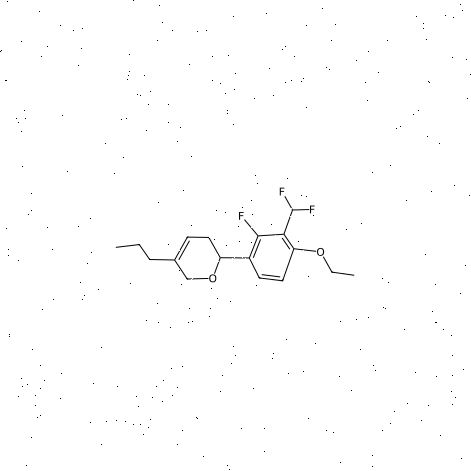 CCCC1=CCC(c2ccc(OCC)c(C(F)F)c2F)OC1